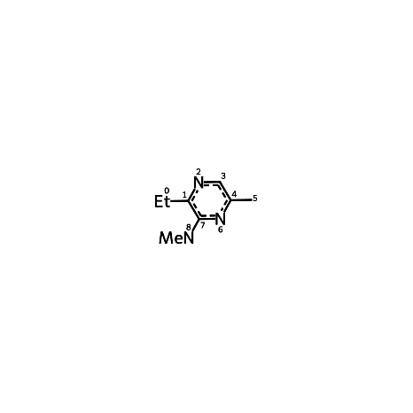 CCc1ncc(C)nc1NC